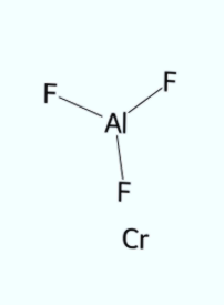 [Cr].[F][Al]([F])[F]